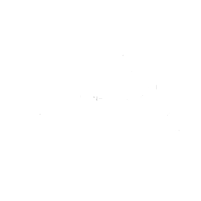 O=C(c1ccccc1NC1Cc2ccccc2C1)C(O)c1ccccc1